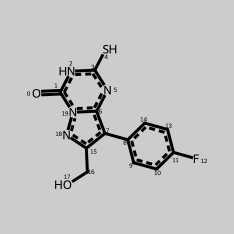 O=c1[nH]c(S)nc2c(-c3ccc(F)cc3)c(CO)nn12